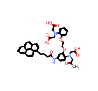 CC(=O)CN(CC(=O)O)c1ccc(NC(=O)CCCc2ccc3ccc4cccc5ccc2c3c45)cc1OCCOc1ccccc1N(CC(=O)O)CC(=O)O